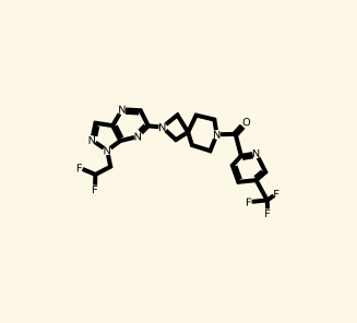 O=C(c1ccc(C(F)(F)F)cn1)N1CCC2(CC1)CN(c1cnc3cnn(CC(F)F)c3n1)C2